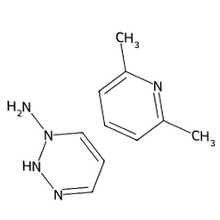 Cc1cccc(C)n1.NN1C=CC=NN1